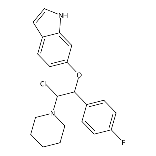 Fc1ccc(C(Oc2ccc3cc[nH]c3c2)C(Cl)N2CCCCC2)cc1